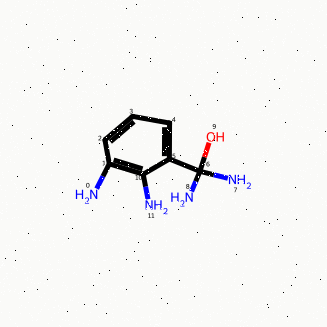 Nc1cccc(C(N)(N)O)c1N